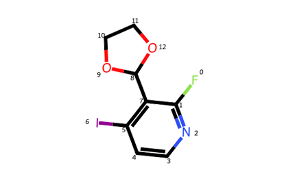 Fc1nccc(I)c1C1OCCO1